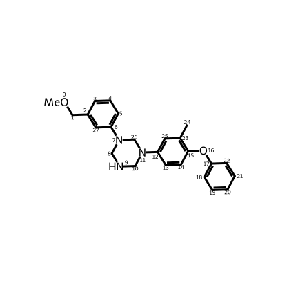 COCc1cccc(N2CNCN(c3ccc(Oc4ccccc4)c(C)c3)C2)c1